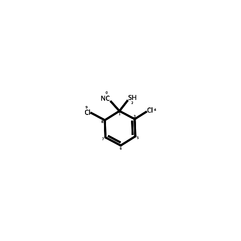 N#CC1(S)C(Cl)=CC=CC1Cl